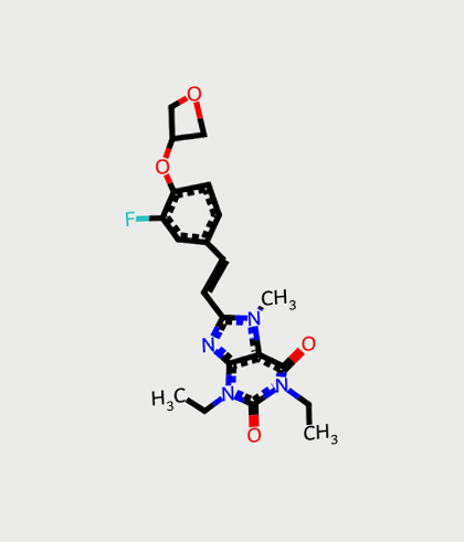 CCn1c(=O)c2c(nc(C=Cc3ccc(OC4COC4)c(F)c3)n2C)n(CC)c1=O